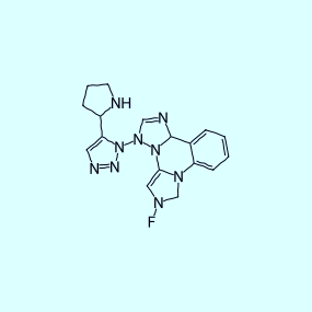 FN1C=C2N(C1)c1ccccc1C1N=CN(n3nncc3C3CCCN3)N21